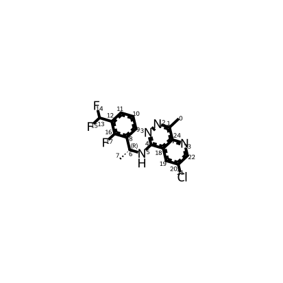 Cc1nnc(N[C@H](C)c2cccc(C(F)F)c2F)c2cc(Cl)cnc12